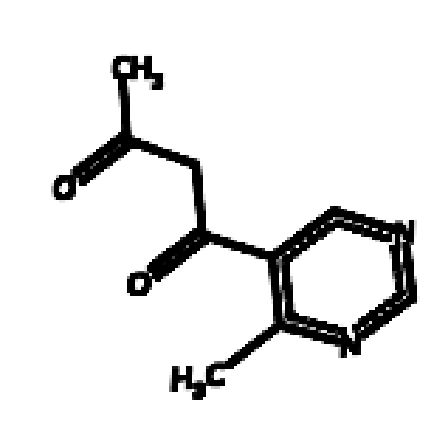 CC(=O)CC(=O)c1cncnc1C